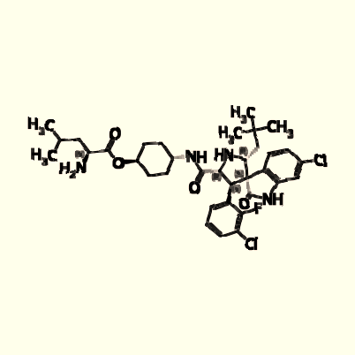 CC(C)C[C@H](N)C(=O)O[C@H]1CC[C@H](NC(=O)[C@@H]2N[C@H](CC(C)(C)C)[C@]3(C(=O)Nc4cc(Cl)ccc43)[C@H]2c2cccc(Cl)c2F)CC1